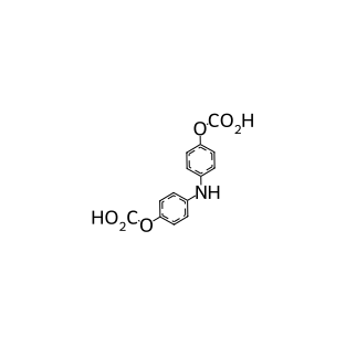 O=C(O)Oc1ccc(Nc2ccc(OC(=O)O)cc2)cc1